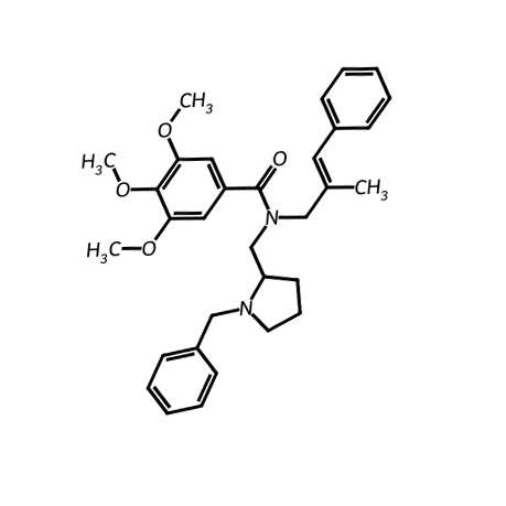 COc1cc(C(=O)N(CC(C)=Cc2ccccc2)CC2CCCN2Cc2ccccc2)cc(OC)c1OC